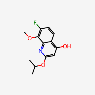 COc1c(F)ccc2c(O)cc(OC(C)C)nc12